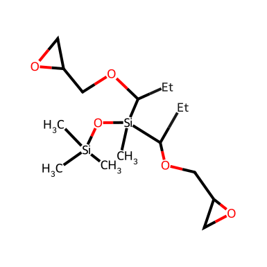 CCC(OCC1CO1)[Si](C)(O[Si](C)(C)C)C(CC)OCC1CO1